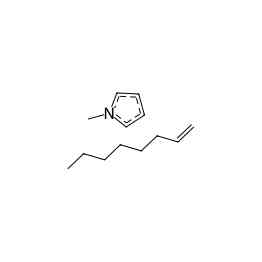 C=CCCCCCC.Cn1cccc1